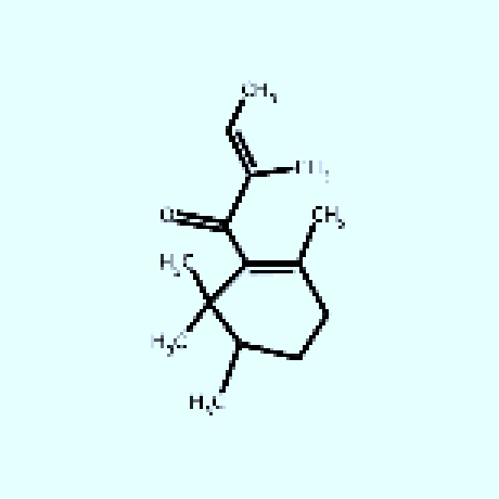 C/C=C(\C)C(=O)C1=C(C)CCC(C)C1(C)C